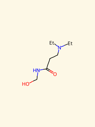 CCN(CC)CCC(=O)NCO